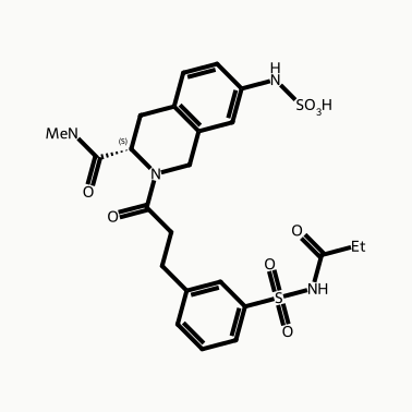 CCC(=O)NS(=O)(=O)c1cccc(CCC(=O)N2Cc3cc(NS(=O)(=O)O)ccc3C[C@H]2C(=O)NC)c1